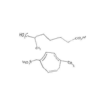 CC(CCCCC(=O)O)C(=O)O.Cc1ccc(S(=O)(=O)O)cc1